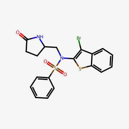 O=C1CCC(CN(c2sc3ccccc3c2Br)S(=O)(=O)c2ccccc2)N1